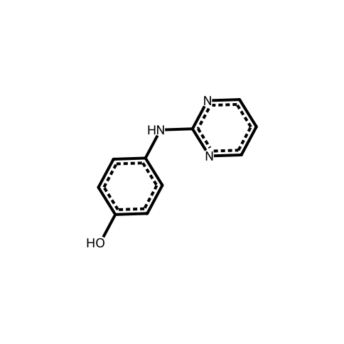 Oc1ccc(Nc2ncccn2)cc1